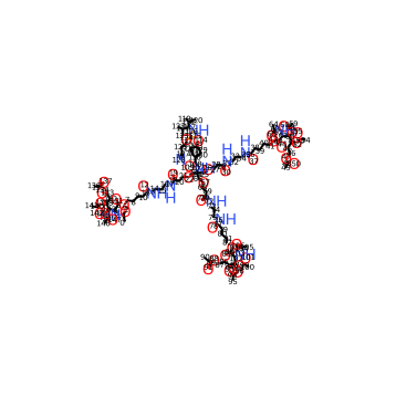 CC(=O)NC1C(OCCCCC(=O)NCCCNC(=O)CCOCC(COCCC(=O)NCCCNC(=O)CCCCOC2OC(COC(C)=O)C(OC(C)=O)C(OC(C)=O)C2NC(C)=O)(COCCC(=O)NCCCNC(=O)CCCCOC2OC(COC(C)=O)C(OC(C)=O)C(OC(C)=O)C2NC(C)=O)NC(=O)c2ccc(OP(NC(C(C)C)C(C)C)OCCC#N)cc2)OC(COC(C)=O)C(OC(C)=O)C1OC(C)=O